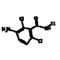 CCNC(=O)c1c(Cl)ccc(N)c1Cl